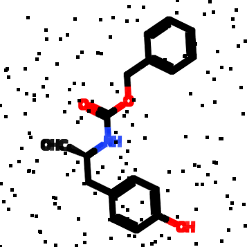 O=C[C@H](Cc1ccc(O)cc1)NC(=O)OCc1ccccc1